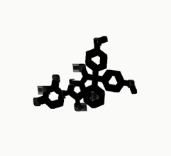 COc1ccc(C(c2ccccc2)(c2ccc(OC)cc2)C(O)[C@@H]2S[C@H](n3ccc(=O)[nH]c3=O)[C@H](O)[C@@H]2O)cc1